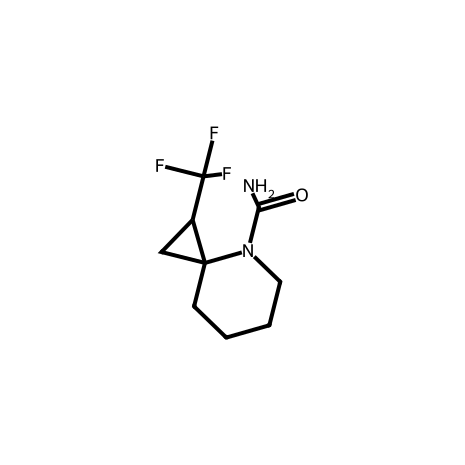 NC(=O)N1CCCCC12CC2C(F)(F)F